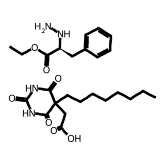 CCCCCCCCC1(CC(=O)O)C(=O)NC(=O)NC1=O.CCOC(=O)[C@H](Cc1ccccc1)NN